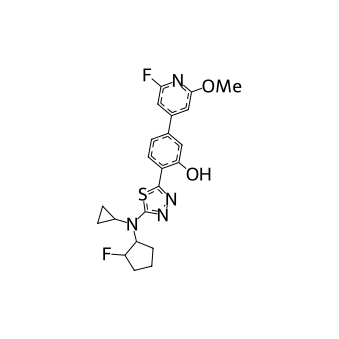 COc1cc(-c2ccc(-c3nnc(N(C4CC4)C4CCCC4F)s3)c(O)c2)cc(F)n1